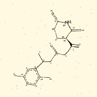 C=C(CC(=O)CC(C)c1cc(C)ccc1C)[C@H]1CCC(=O)NC1=O